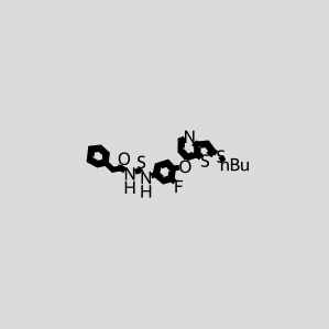 CCCCSc1cc2nccc(Oc3ccc(NC(=S)NC(=O)Cc4ccccc4)cc3F)c2s1